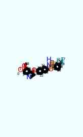 COc1cc2nccc(Oc3ccc4ccc(NS(=O)(=O)c5cccc(C(F)(F)F)c5)cc4c3)c2cc1OC